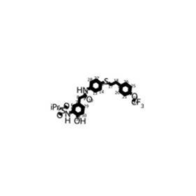 CC(C)S(=O)(=O)Nc1cc(CC(=O)Nc2ccc(SCCc3ccc(OC(F)(F)F)cc3)cc2)ccc1O